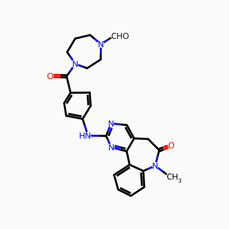 CN1C(=O)Cc2cnc(Nc3ccc(C(=O)N4CCCN(C=O)CC4)cc3)nc2-c2ccccc21